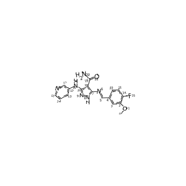 COc1cc(C=Nc2[nH]nc(Nc3cccnc3)c2C(N)=O)ccc1F